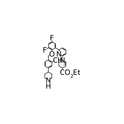 CCOC(=O)C1CCN(c2cccc(-c3cc(F)cc(F)c3OCc3ccc(C4CCNCC4)cc3C)n2)CC1